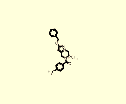 Cc1ccc(C(=O)N2Cc3cc(OCc4ccccc4)nn3C[C@H]2C)cc1